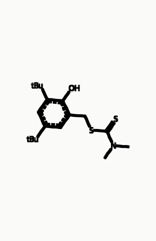 CN(C)C(=S)SCc1cc(C(C)(C)C)cc(C(C)(C)C)c1O